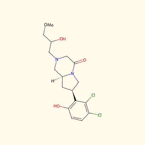 COCC(O)CN1CC(=O)N2C[C@@H](c3c(O)ccc(Cl)c3Cl)C[C@H]2C1